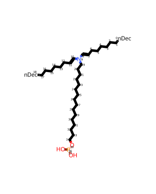 CCCCCCCCCCCCCCCCC=CN(C=CCCCCCCCCCCCCCCCC)CCCCCCCCCCCCCCCCOP(O)O